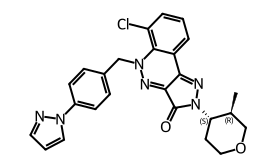 C[C@H]1COCC[C@@H]1n1nc2c3cccc(Cl)c3n(Cc3ccc(-n4cccn4)cc3)nc-2c1=O